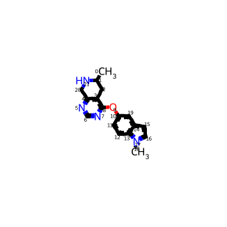 CC1Cc2c(ncnc2Oc2ccc3c(ccn3C)c2)CN1